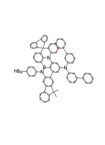 CCCCc1ccc(N2B3c4cccc5c4N(c4ccccc4C54c5ccccc5-c5ccccc54)c4cc(N(c5cccc(-c6ccccc6)c5)c5cccc(-c6ccccc6)c5)cc(c43)-c3cc4c(cc32)-c2ccccc2C4(C)C)cc1